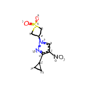 O=[N+]([O-])c1cn(C2CS(=O)(=O)C2)nc1C1CC1